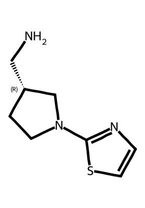 NC[C@H]1CCN(c2nccs2)C1